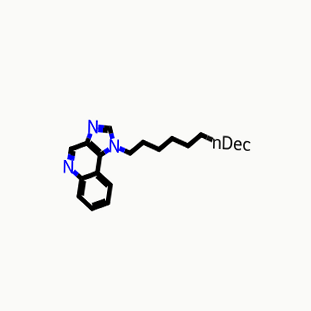 CCCCCCCCCCCCCCCCn1cnc2cnc3ccccc3c21